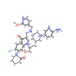 COc1cc(CN(Cc2cn3c4c(c(N5CCCCC5=O)c(F)cc4c2=O)OCC3C)[C@H]2CCCN(c3ccc(N)nc3)C2)ccn1